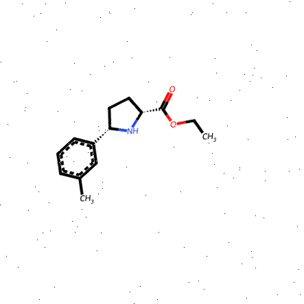 CCOC(=O)[C@H]1CC[C@@H](c2cccc(C)c2)N1